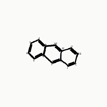 [c]1[c]c2cc3c[c]ccc3cc2cc1